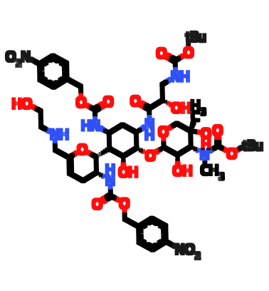 CN(C(=O)OC(C)(C)C)[C@@H]1[C@@H](O)[C@@H](O[C@H]2[C@H](NC(=O)[C@@H](O)CNC(=O)OC(C)(C)C)C[C@H](NC(=O)OCc3ccc([N+](=O)[O-])cc3)C([C@H]3OC(CNCCO)=CC[C@H]3NC(=O)OCc3ccc([N+](=O)[O-])cc3)[C@@H]2O)OC[C@]1(C)O